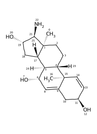 C[C@]12CC[C@H]3[C@@H]([C@@H](O)C=C4C[C@H](O)C=C[C@@]43C)[C@@H]1C[C@H](O)[C@H]2N